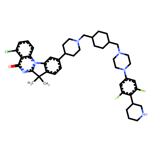 CC1(C)c2ccc(C3CCN(CC4CCC(CN5CCN(c6cc(F)c(C7CCCNC7)c(F)c6)CC5)CC4)CC3)cc2-n2c1nc(=O)c1c(Cl)cccc12